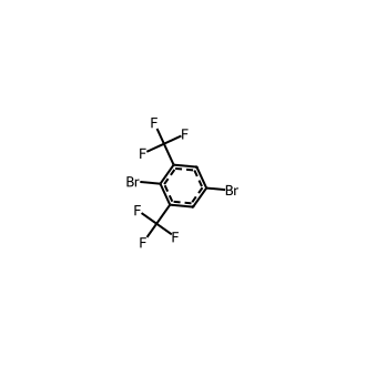 FC(F)(F)c1cc(Br)cc(C(F)(F)F)c1Br